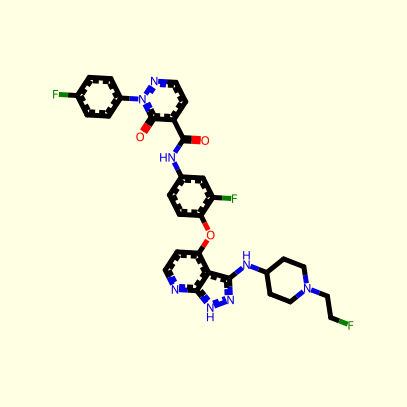 O=C(Nc1ccc(Oc2ccnc3[nH]nc(NC4CCN(CCF)CC4)c23)c(F)c1)c1ccnn(-c2ccc(F)cc2)c1=O